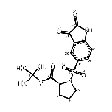 CC(C)(C)OC(=O)[C@@H]1CCCN1S(=O)(=O)c1ccc2c(c1)C(=O)C(=O)N2